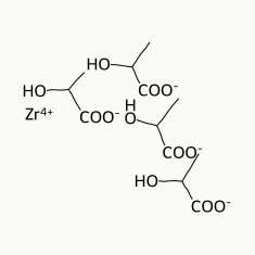 CC(O)C(=O)[O-].CC(O)C(=O)[O-].CC(O)C(=O)[O-].CC(O)C(=O)[O-].[Zr+4]